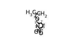 C=C(C)COCc1cccc([N+](=O)[O-])n1